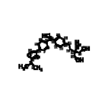 CC(C)c1nc(-c2ccc(Sc3ccc(CCC(N)(CO)CO)cc3)cc2)co1.Cl